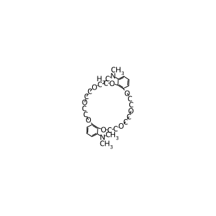 CN(C)c1cccc2c1OCCOCCOCCOc1cccc(N(C)C)c1OCCOCCOCCO2